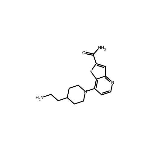 NCCC1CCN(c2ccnc3cc(C(N)=O)sc23)CC1